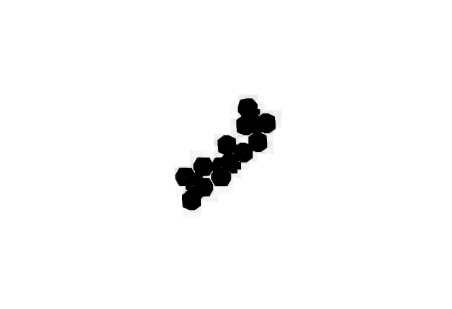 CC1(C)c2c(cc(-c3cccc(C(c4ccccc4)c4cccc5c4sc4ccccc45)c3)c3ccccc23)-c2c1c1ccc(-c3cccc(C(c4ccccc4)c4cccc5c4sc4ccccc45)c3)cc1c1ccccc21